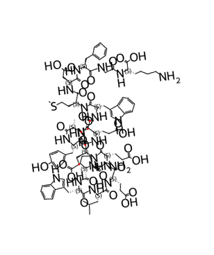 CSCC[C@H](NC(=O)[C@H](Cc1c[nH]c2ccccc12)NC(=O)CNC(=O)[C@H](Cc1ccc(O)cc1)NC(=O)[C@H](C)NC(=O)[C@H](CCC(=O)O)NC(=O)[C@H](CCC(=O)O)NC(=O)[C@H](CCC(=O)O)NC(=O)[C@H](CCC(=O)O)NC(=O)[C@H](CC(C)C)NC(=O)[C@H](Cc1c[nH]c2ccccc12)NC(=O)[C@@H]1CCCN1C(=O)CN)C(=O)N[C@@H](CC(=O)O)C(=O)N[C@@H](Cc1ccccc1)C(=O)NCC(=O)N[C@@H](CCCCN)C(=O)O